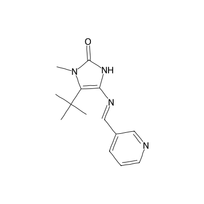 Cn1c(C(C)(C)C)c(N=Cc2cccnc2)[nH]c1=O